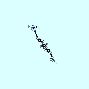 C=CC(=O)OCCCOc1ccc(C(=O)Oc2c(F)cc(OC(=O)c3ccc(OCCCCCCOC(=O)C(=C)C)cc3)c(F)c2F)cc1